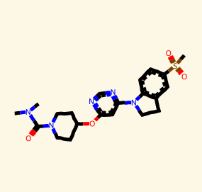 CN(C)C(=O)N1CCC(Oc2cc(N3CCc4cc(S(C)(=O)=O)ccc43)ncn2)CC1